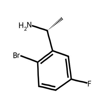 C[C@@H](N)c1cc(F)ccc1Br